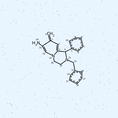 C=C1C=C2C(c3ccccc3)N(Cc3ccccc3)CCN2C=C1N